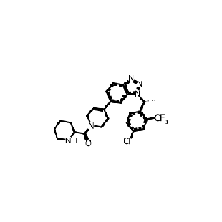 C[C@H](c1ccc(Cl)cc1C(F)(F)F)n1nnc2ccc(C3=CCN(C(=O)C4CCCCN4)CC3)cc21